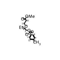 CC[C@H](COS(=O)(=O)c1ccc(C)cc1)OCCC(=O)OC